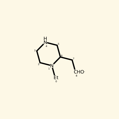 CCN1CCNCC1C[C]=O